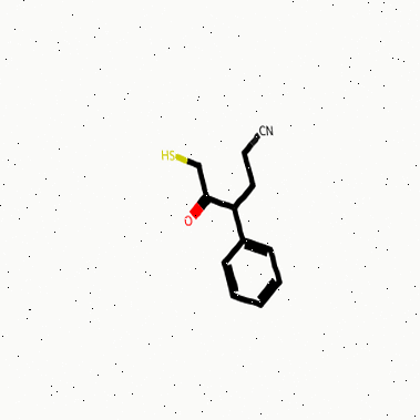 N#CCCC(C(=O)CS)c1ccccc1